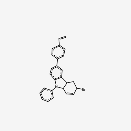 C=Cc1ccc(-c2ccc3c(c2)C2CC(Br)C=CC2N3c2ccccc2)cc1